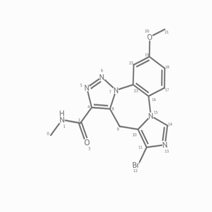 CNC(=O)c1nnn2c1Cc1c(Br)ncn1-c1ccc(OC)cc1-2